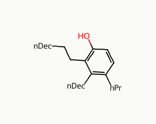 CCCCCCCCCCCCc1c(O)ccc(CCC)c1CCCCCCCCCC